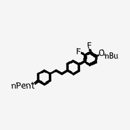 CCCCCC1CCC(CCC2CCC(c3ccc(OCCCC)c(F)c3F)CC2)CC1